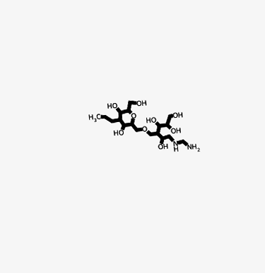 CCCC1C(O)C(CO)OC(COCC(C(O)CNCN)C(O)C(O)CO)C1O